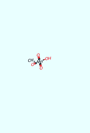 C.[O]=[Mn](=[O])(=[O])[OH]